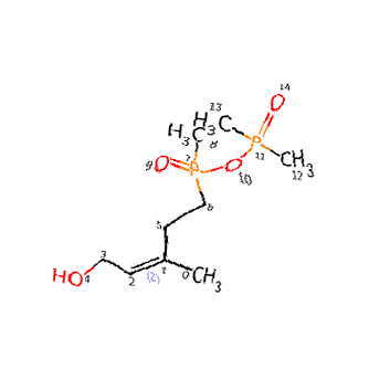 C/C(=C/CO)CCP(C)(=O)OP(C)(C)=O